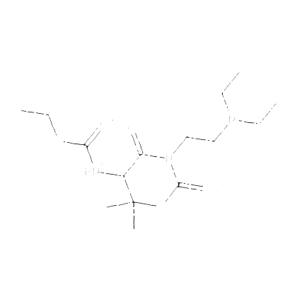 CCOC(=O)NC1C(=O)N(CCN(CC)CC)C(=S)SC1(C)C